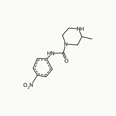 CC1CN(C(=O)Nc2ccc([N+](=O)[O-])cc2)CCN1